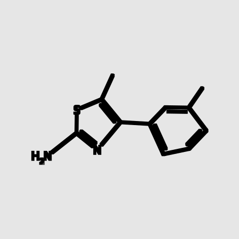 Cc1cccc(-c2nc(N)sc2C)c1